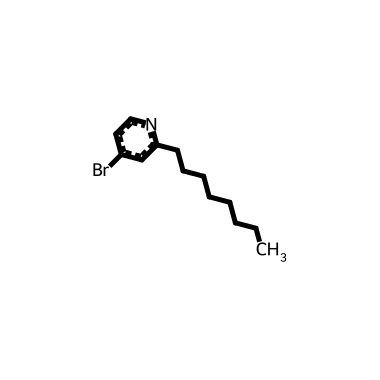 CCCCCCCCc1cc(Br)ccn1